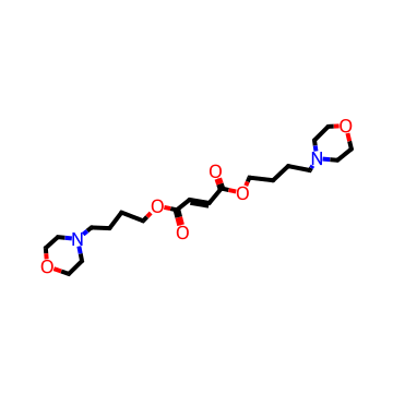 O=C(/C=C/C(=O)OCCCCN1CCOCC1)OCCCCN1CCOCC1